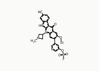 CCOc1cc2c(=O)c3c4ccc(C#N)cc4[nH]c3n(C3CN(C)C3)c2cc1-c1cncc(OS(=O)(=O)F)c1